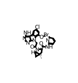 COc1cc(Cl)cc2c3c(N)ncnc3n(CC(=O)N3[C@H](C(=O)Nc4cccc(Br)n4)C[C@@]4(C)C[C@@H]34)c12